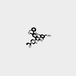 C=CC(=O)N1CCN(c2nc(=O)n(-c3c(C)cc(CO)cc3C(C)C)c3nc(-c4ccccc4F)c(Cl)cc23)[C@@H](C)C1